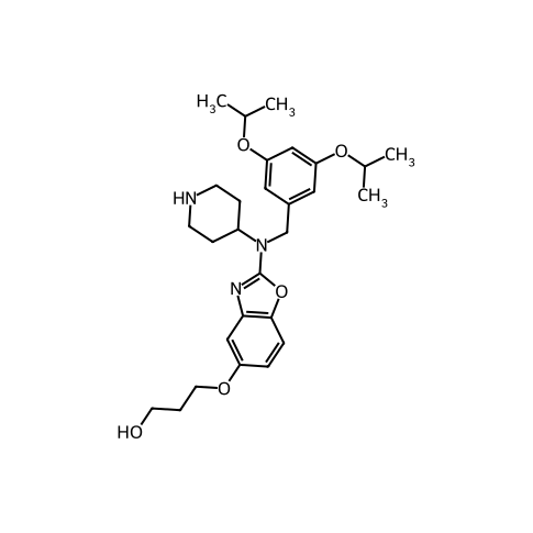 CC(C)Oc1cc(CN(c2nc3cc(OCCCO)ccc3o2)C2CCNCC2)cc(OC(C)C)c1